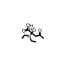 CCN(CC)C(O)(CC(C)=O)C(=O)O